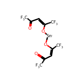 O=C(/C=C(\[O][Sn][O]/C(=C\C(=O)C(F)(F)F)C(F)(F)F)C(F)(F)F)C(F)(F)F